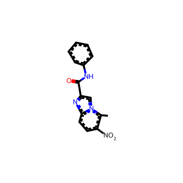 Cc1c([N+](=O)[O-])ccc2nc(C(=O)Nc3ccccc3)cn12